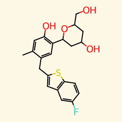 Cc1cc(O)c(C2CC(O)CC(CO)O2)cc1Cc1cc2cc(F)ccc2s1